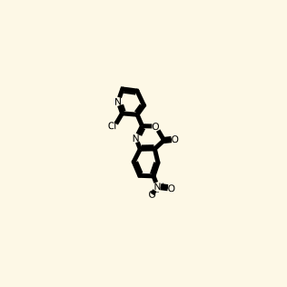 O=c1oc(-c2cccnc2Cl)nc2ccc([N+](=O)[O-])cc12